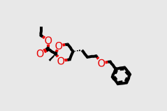 CCOC(=O)[C@]1(C)OC[C@H](CCCOCc2ccccc2)CO1